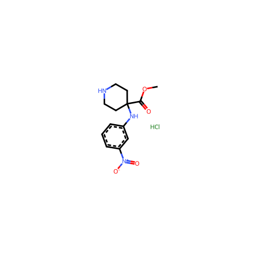 COC(=O)C1(Nc2cccc([N+](=O)[O-])c2)CCNCC1.Cl